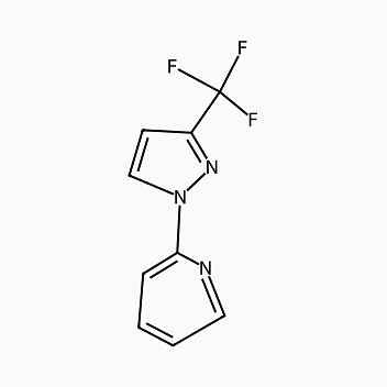 FC(F)(F)c1ccn(-c2ccccn2)n1